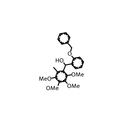 COc1c(C)c(C(O)c2ccccc2OCc2ccccc2)c(OC)c(OC)c1OC